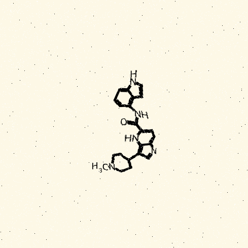 CN1CCC(c2cnc3ccc(C(=O)Nc4cccc5[nH]ccc45)[nH]c2-3)CC1